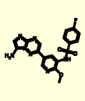 COc1ncc(-c2cnc3ncc(N)n3n2)cc1NS(=O)(=O)c1ccc(F)cc1